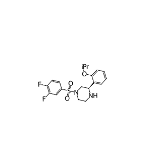 CC(C)Oc1ccccc1[C@@H]1CN(S(=O)(=O)c2ccc(F)c(F)c2)CCN1